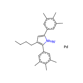 CCCCC1=C(c2cc(C)c(C)c(C)c2)[N+](=[N-])C(c2cc(C)c(C)c(C)c2)=C1.[Pd]